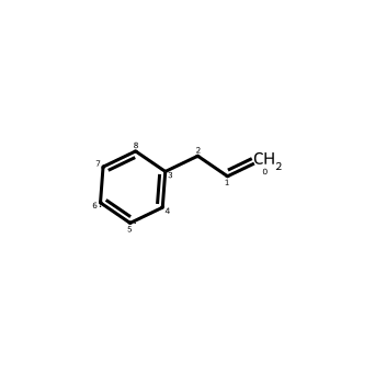 C=CCc1c[c][c]cc1